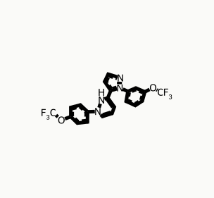 FC(F)(F)Oc1ccc(N2C=CC=C(c3ccnn3-c3cccc(OC(F)(F)F)c3)N2)cc1